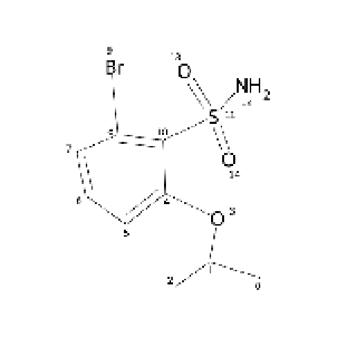 CC(C)Oc1cccc(Br)c1S(N)(=O)=O